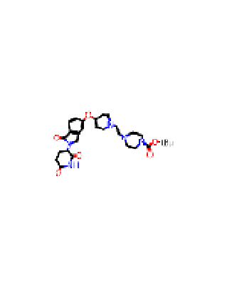 CC(C)(C)OC(=O)N1CCN(CCN2CCC(Oc3ccc4c(c3)CN(C3CCC(=O)NC3=O)C4=O)CC2)CC1